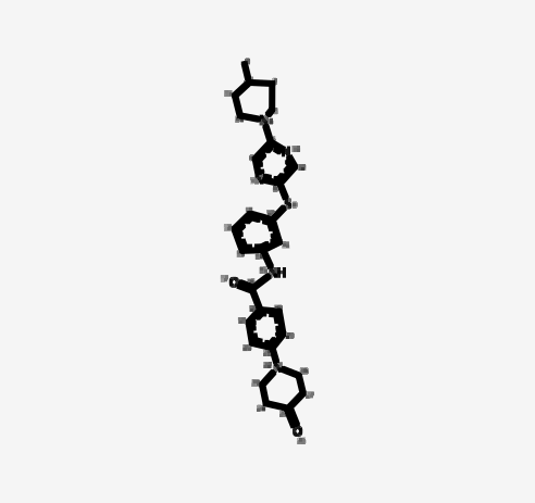 C[C]1CCN(c2cnc(Sc3cccc(NC(=O)c4ccc(N5CCC(=O)CC5)cc4)c3)cn2)CC1